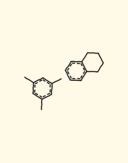 Cc1cc(C)cc(C)c1.c1ccc2c(c1)CCCC2